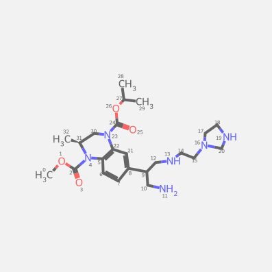 COC(=O)N1c2ccc(C(CN)CNCCN3CCNC3)cc2N(C(=O)OC(C)C)C[C@@H]1C